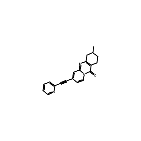 CC1CCc2c(nc3cc(C#Cc4ccccn4)ccn3c2=O)C1